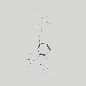 CC(C)(C)[Si](C)(C)NCCc1ccc(O[Si](C)(C)C(C)(C)C)c(O[Si](C)(C)C(C)(C)C)c1